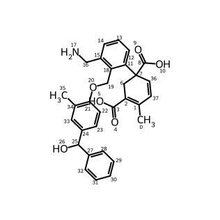 CC1=C(C(=O)O)CC(C(=O)O)(c2cccc(CN)c2COc2ccc(C(O)c3ccccc3)cc2C)C=C1